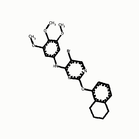 COc1cc(Nc2nc(Oc3cccc4c3CCCC4)ncc2Br)cc(OC)c1OC